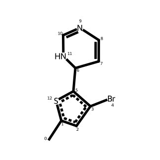 Cc1cc(Br)c(C2C=CN=CN2)s1